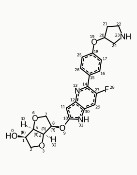 O[C@@H]1CO[C@H]2[C@@H]1OC[C@H]2Oc1cc2nc(-c3ccc(OC4CCNC4)cc3)c(F)cc2[nH]1